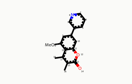 COc1cc(-c2cccnc2)cc2oc(=O)c(C)c(C)c12